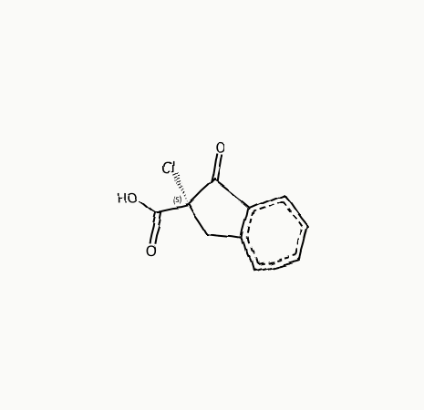 O=C(O)[C@]1(Cl)Cc2ccccc2C1=O